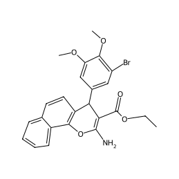 CCOC(=O)C1=C(N)Oc2c(ccc3ccccc23)C1c1cc(Br)c(OC)c(OC)c1